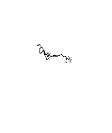 CCOCC=NOCCCCCC(=O)[O-].[Li+]